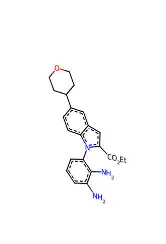 CCOC(=O)c1cc2cc(C3CCOCC3)ccc2n1-c1cccc(N)c1N